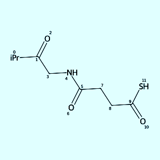 CC(C)C(=O)CNC(=O)CCC(=O)S